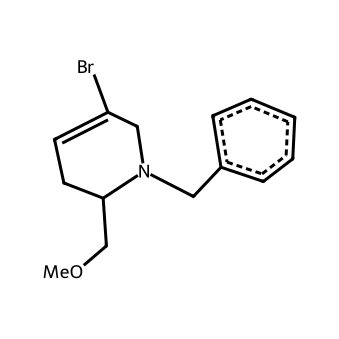 COCC1CC=C(Br)CN1Cc1ccccc1